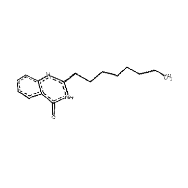 CCCCCCCCc1nc2ccccc2c(=O)[nH]1